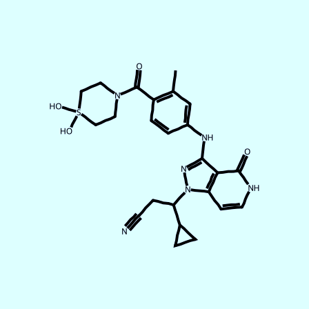 Cc1cc(Nc2nn(C(CC#N)C3CC3)c3cc[nH]c(=O)c23)ccc1C(=O)N1CCS(O)(O)CC1